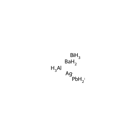 [Ag].[AlH3].[BaH2].[BiH3].[PbH2]